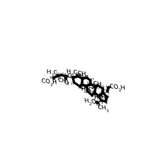 C=C(C)[C@@H]1CC[C@]2(CCC(=O)O)CC[C@]3(C)[C@H](CCC4[C@@]5(C)CC[C@H](OC(=O)CC(C)(C)CC(=O)O)C(C)(C)[C@@H]5CC[C@]43C)[C@@H]12